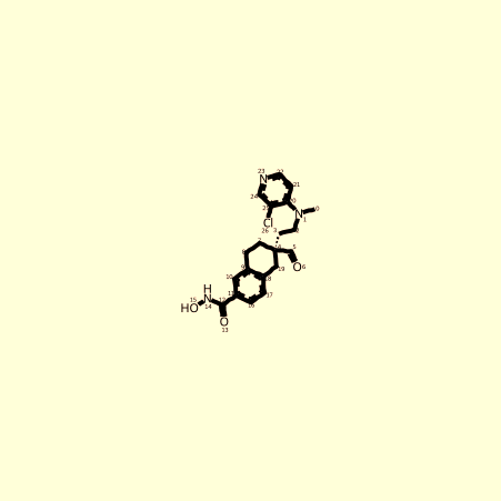 CN(CC[C@@]1(C=O)CCc2cc(C(=O)NO)ccc2C1)c1ccncc1Cl